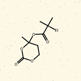 CCC(C)(C)C(=O)OC1(C)CCOC(=O)O1